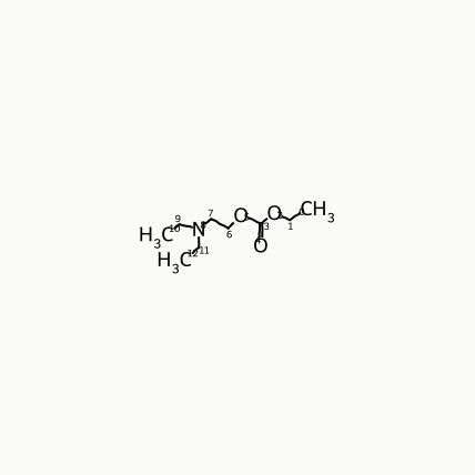 CCOC(=O)OCCN(CC)CC